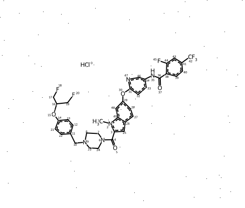 Cl.Cn1c(C(=O)N2CCN(Cc3ccc(OC(CF)CF)cc3)CC2)cc2ccc(Oc3ccc(NC(=O)c4ccc(C(F)(F)F)cc4F)cn3)cc21